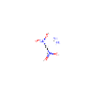 N.N.O=[N+]([O-])[Pt][N+](=O)[O-]